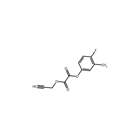 C#CCOC(=O)C(=O)Oc1ccc(F)c(C)c1